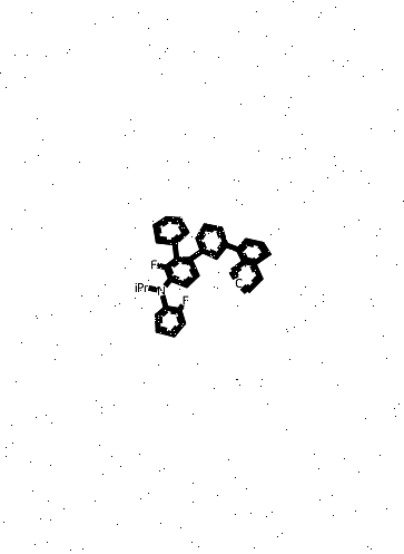 CC(C)N(c1ccccc1F)c1ccc(-c2cccc(-c3cccc4ccccc34)c2)c(-c2ccccc2)c1F